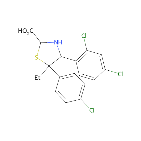 CCC1(c2ccc(Cl)cc2)SC(C(=O)O)NC1c1ccc(Cl)cc1Cl